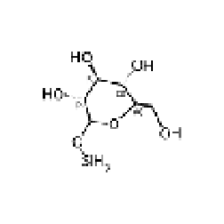 OC[C@H]1OC(O[SiH3])[C@H](O)[C@@H](O)[C@@H]1O